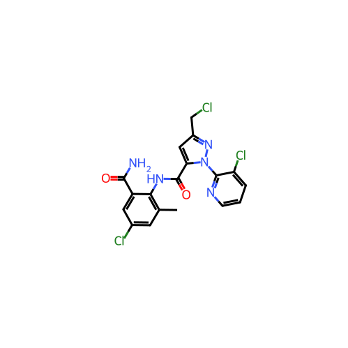 Cc1cc(Cl)cc(C(N)=O)c1NC(=O)c1cc(CCl)nn1-c1ncccc1Cl